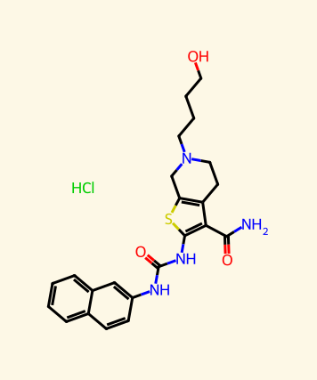 Cl.NC(=O)c1c(NC(=O)Nc2ccc3ccccc3c2)sc2c1CCN(CCCCO)C2